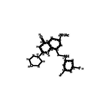 CC(=O)Nc1cc(CNc2cc(F)cc(F)c2)c2oc(N3CCOCC3)cc(=O)c2c1